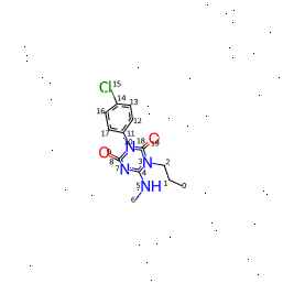 CCCn1c(NC)nc(=O)n(-c2ccc(Cl)cc2)c1=O